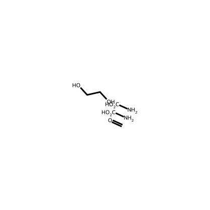 C=O.NC(=O)O.NC(=O)O.OCCO